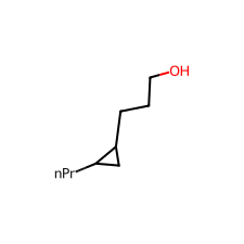 CCCC1CC1CCCO